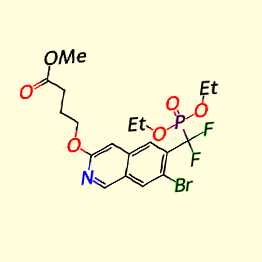 CCOP(=O)(OCC)C(F)(F)c1cc2cc(OCCCC(=O)OC)ncc2cc1Br